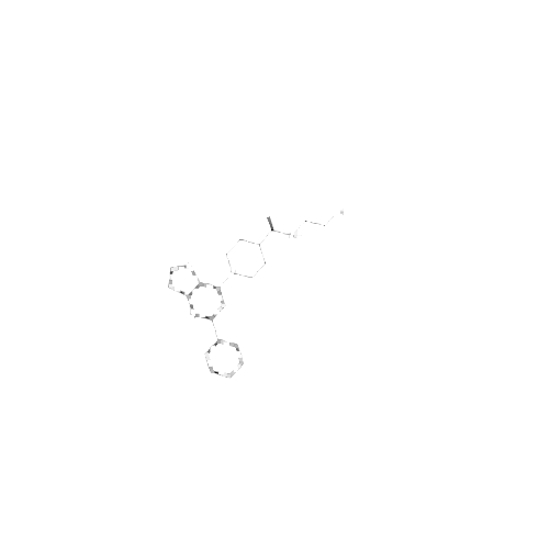 O=C(NCCO)C1CCN(c2cc(-c3ccccc3)nc3ccsc23)CC1